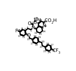 CC(C)(C)OC(=O)N(CCc1cc(F)ccc1OCc1ccc(CCc2ccc(C(F)(F)F)cc2)cc1)C1CCCc2nc(C(=O)O)ccc21